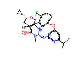 CN1C(=N)N[C@@]2(c3cc(Oc4ccnc(C(F)F)c4)ccc3F)CO[C@@H](C3CC3)C[C@H]2C1=O